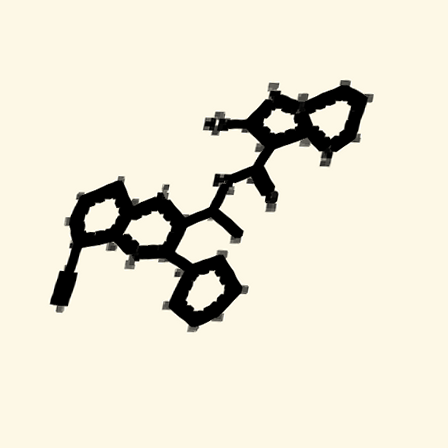 C#Cc1cccc2nc(C(C)NC(=O)c3c(N)nn4cccnc34)c(-c3ccccc3)nc12